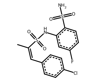 CC(=Cc1ccc(Cl)cc1)S(=O)(=O)Nc1cc(F)ccc1S(N)(=O)=O